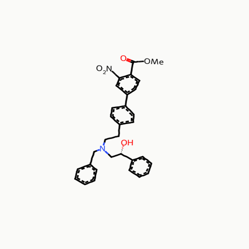 COC(=O)c1ccc(-c2ccc(CCN(Cc3ccccc3)C[C@H](O)c3ccccc3)cc2)cc1[N+](=O)[O-]